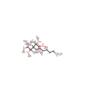 CCOC(OCC)C(OC)(OCC)C(CCCCCCC(=O)O)(C(=O)O)C(OC)(OCC)C(OCC)OCC